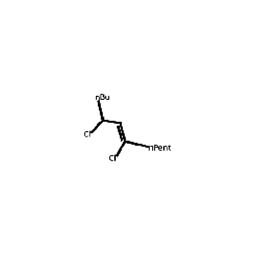 CCCCCC(Cl)=CC(Cl)CCCC